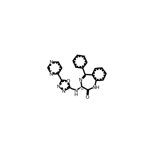 O=C1Nc2ccccc2C(c2ccccc2)=N[C@@H]1Nc1nnc(-c2ccncn2)o1